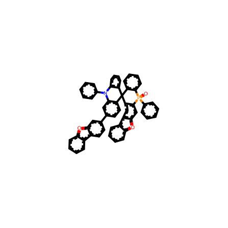 O=P1(c2ccccc2)c2ccccc2C2(c3ccccc3N(c3ccccc3)c3cc(-c4ccc5c(c4)oc4ccccc45)ccc32)c2cc3c(cc21)oc1ccccc13